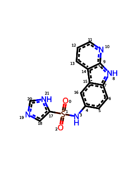 O=S(=O)(Nc1ccc2[nH]c3ncccc3c2c1)c1cnc[nH]1